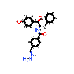 NN=Cc1ccc(C(=O)N[C@@H](Cc2ccccc2)C(=O)c2ccc([O])cc2)cc1